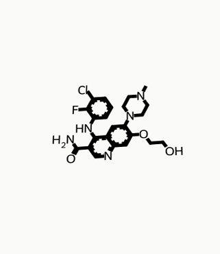 CN1CCN(c2cc3c(Nc4cccc(Cl)c4F)c(C(N)=O)cnc3cc2OCCO)CC1